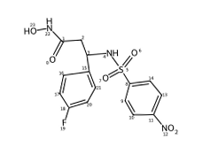 O=C(CC(NS(=O)(=O)c1ccc([N+](=O)[O-])cc1)c1ccc(F)cc1)NO